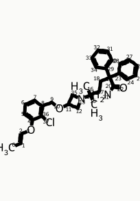 CC=COc1cccc(COC2CN(C(C)(C)CCC(C(N)=O)(c3ccccc3)c3ccccc3)C2)c1Cl